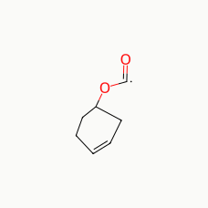 O=[C]OC1CC=CCC1